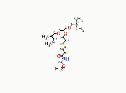 CCC(C)COCC(COCC(C)CC)OCCCSCCC(=O)NCOC